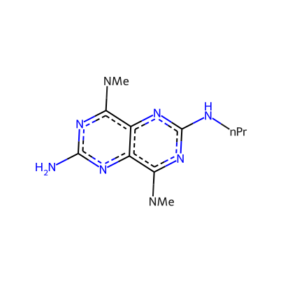 CCCNc1nc(NC)c2nc(N)nc(NC)c2n1